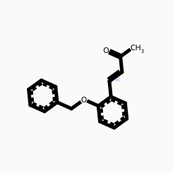 CC(=O)/C=C/c1ccccc1OCc1ccccc1